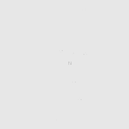 CN(c1ccccc1C(=O)CC(=O)C1CC1)S(=O)(=O)c1ccc(Cl)cc1